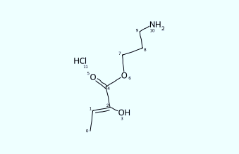 CC=C(O)C(=O)OCCCN.Cl